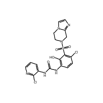 O=C(Nc1cccnc1Cl)Nc1ccc(Cl)c(S(=O)(=O)N2CCn3ccnc3C2)c1O